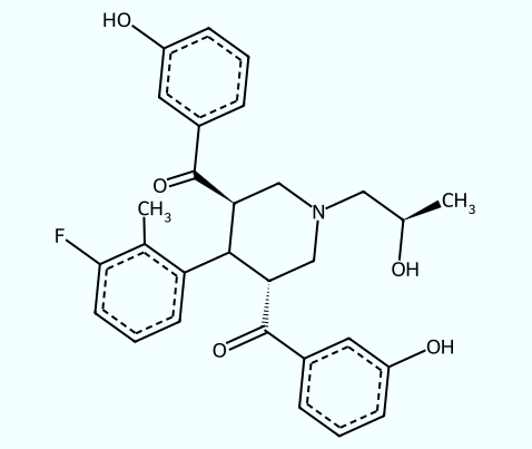 Cc1c(F)cccc1C1[C@@H](C(=O)c2cccc(O)c2)CN(C[C@@H](C)O)C[C@@H]1C(=O)c1cccc(O)c1